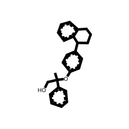 CC(CO)(Oc1ccc(C2CCCc3ccccc32)cc1)c1ccccc1